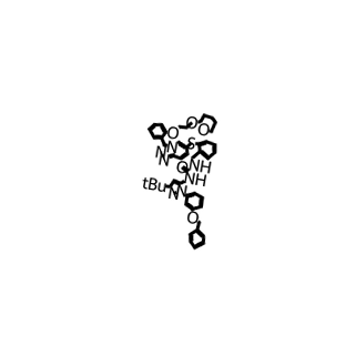 CC(C)(C)c1cc(NC(=O)NCc2ccccc2Sc2ccc3nnc(-c4ccccc4OCCOC4CCCCO4)n3c2)n(-c2cccc(OCc3ccccc3)c2)n1